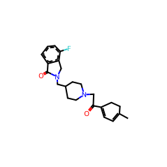 CC1=CC=C(C(=O)CN2CCC(CN3Cc4c(F)cccc4C3=O)CC2)CC1